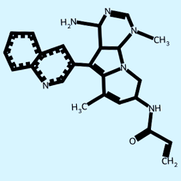 C=CC(=O)NC1C=C(C)C2=C(c3cnc4ccccc4c3)C3C(N)N=CN(C)C3N2C1